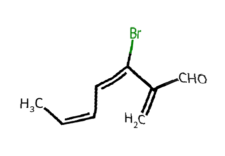 C=C(C=O)/C(Br)=C\C=C/C